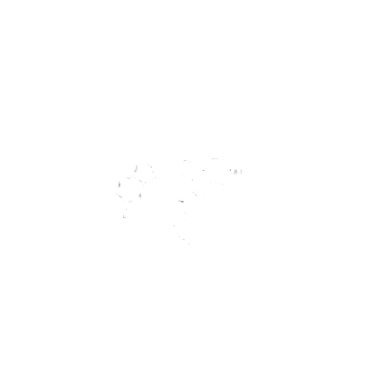 CCOC(=O)NC(CCc1coc2ccc(F)cc12)C1(O)CCNCC1